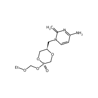 C=C1N=C(N)C=CN1C[C@@H]1COP(=O)(OCOCC)CO1